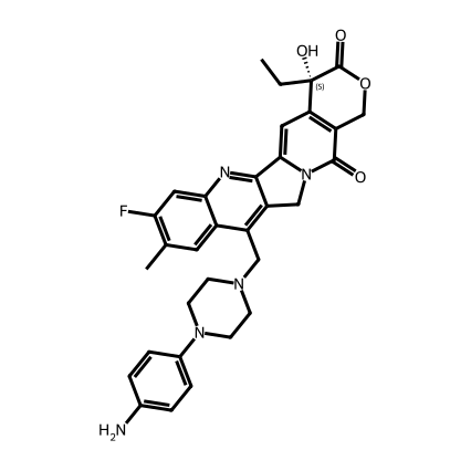 CC[C@@]1(O)C(=O)OCc2c1cc1n(c2=O)Cc2c-1nc1cc(F)c(C)cc1c2CN1CCN(c2ccc(N)cc2)CC1